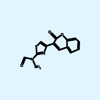 NN(C=O)c1nc(-c2cc3ccccc3oc2=O)cs1